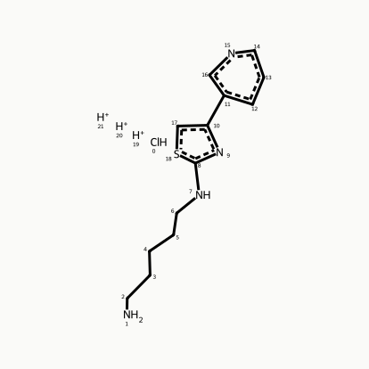 Cl.NCCCCCNc1nc(-c2cccnc2)cs1.[H+].[H+].[H+]